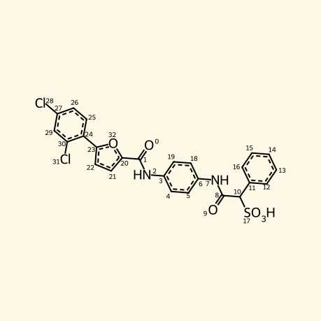 O=C(Nc1ccc(NC(=O)C(c2ccccc2)S(=O)(=O)O)cc1)c1ccc(-c2ccc(Cl)cc2Cl)o1